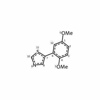 COc1ccc(OC)c(-c2cn[c]s2)c1